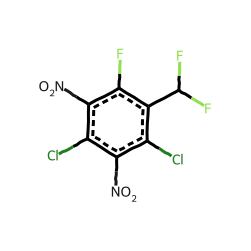 O=[N+]([O-])c1c(F)c(C(F)F)c(Cl)c([N+](=O)[O-])c1Cl